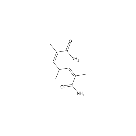 CC(=CC(C)C=C(C)C(N)=O)C(N)=O